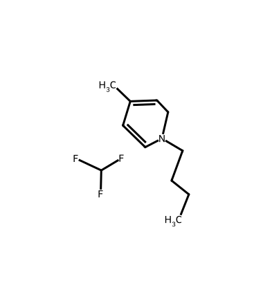 CCCCN1C=CC(C)=CC1.FC(F)F